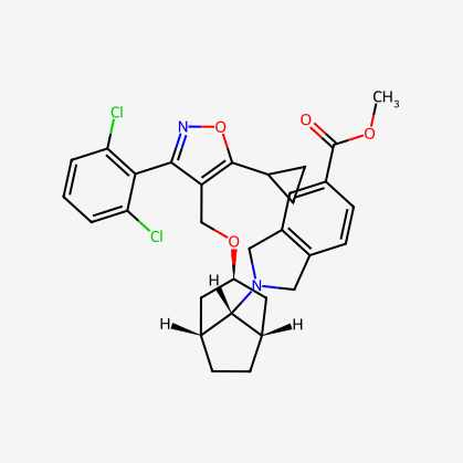 COC(=O)c1ccc2c(c1)CN([C@H]1[C@@H]3CC[C@H]1C[C@H](OCc1c(-c4c(Cl)cccc4Cl)noc1C1CC1)C3)C2